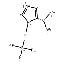 CCCOCCC.Cn1cc[nH+]c1.F[B-](F)(F)F